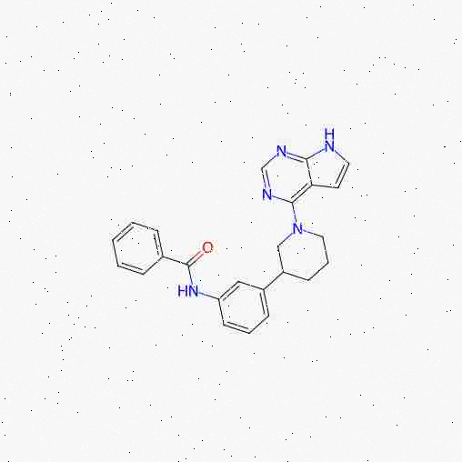 O=C(Nc1cccc(C2CCCN(c3ncnc4[nH]ccc34)C2)c1)c1ccccc1